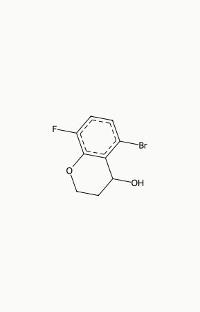 OC1CCOc2c(F)ccc(Br)c21